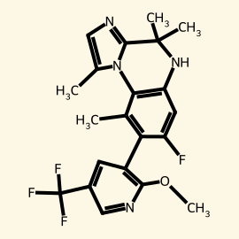 COc1ncc(C(F)(F)F)cc1-c1c(F)cc2c(c1C)-n1c(C)cnc1C(C)(C)N2